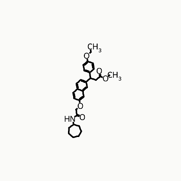 CCOc1ccc(C(CC(=O)OC)c2ccc3ccc(OCC(=O)NC4CCCCCC4)cc3c2)cc1